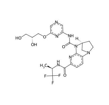 C[C@@H](NC(=O)c1ccc2c(n1)N(C(=O)Nc1cncc(OC[C@H](O)CO)n1)[C@H]1CCN2C1)C(F)(F)F